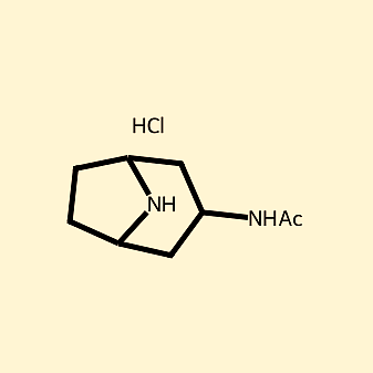 CC(=O)NC1CC2CCC(C1)N2.Cl